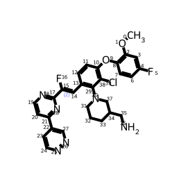 COc1cc(F)ccc1Oc1ccc(/C=C(\F)c2nccc(-c3ccnnc3)n2)c(N2CCCC(CN)C2)c1Cl